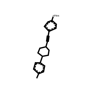 CCCCCCc1ccc(C#CC2CCC(c3ccc(C)cc3)CC2)cc1